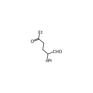 CCCC(C=O)CCC(=O)CC